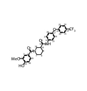 COc1cc(C(=O)N2CCCC(C(=O)Nc3ccc(Oc4ccc(C(F)(F)F)cc4)cc3)C2)ccc1O